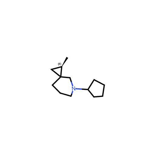 C[C@@H]1CC12CCCN(C1CCCC1)C2